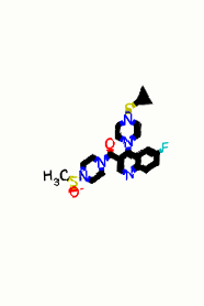 C[S+]([O-])N1CCN(C(=O)c2cnc3ccc(F)cc3c2N2CCN(SC3CC3)CC2)CC1